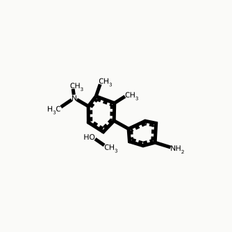 CO.Cc1c(-c2ccc(N)cc2)ccc(N(C)C)c1C